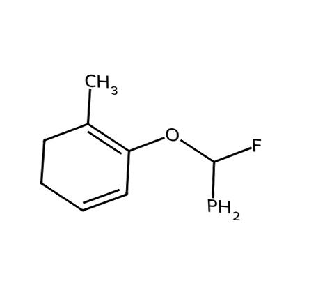 CC1=C(OC(F)P)C=CCC1